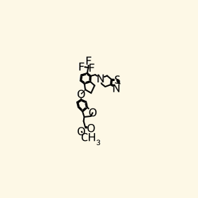 COC(=O)CC1COc2cc(O[C@@H]3CCc4c3ccc(C(F)(F)F)c4CN3CCc4ncsc4C3)ccc21